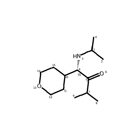 CC(C)N[C@H](C(=O)C(C)C)C1CCOCC1